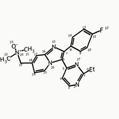 CCc1nccc(-c2c(-c3ccc(F)cc3)nc3cc(C[N+](C)(C)[O-])ccn23)n1